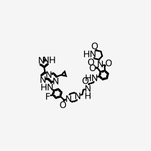 O=C(CNc1cccc2c1C(=O)N(C1CCC(=O)NC1=O)C2=O)NCCN1CCN(C(=O)c2ccc(Nc3nc(C4CC4)cn4c(-c5cn[nH]c5)cnc34)c(F)c2)CC1